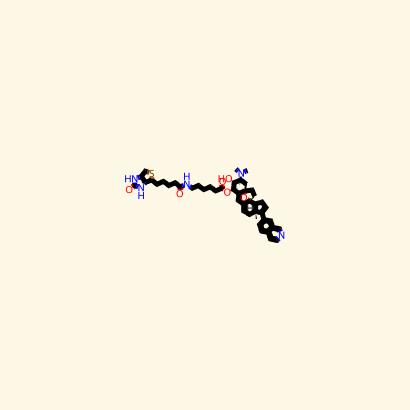 CN(C)[C@H]1C[C@@]23CC[C@@]4(O2)C(=CC[C@]2(C)C(c5ccc6ccncc6c5)=CC[C@H]24)C=C3[C@@H](OC(=O)CCCCCNC(=O)CCCCC2SCC3NC(=O)NC32)[C@@H]1O